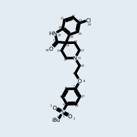 CCC(C)S(=O)(=O)c1ccc(OCCN2CCC3(CC2)C(=O)Nc2ccc(Cl)cc23)cc1